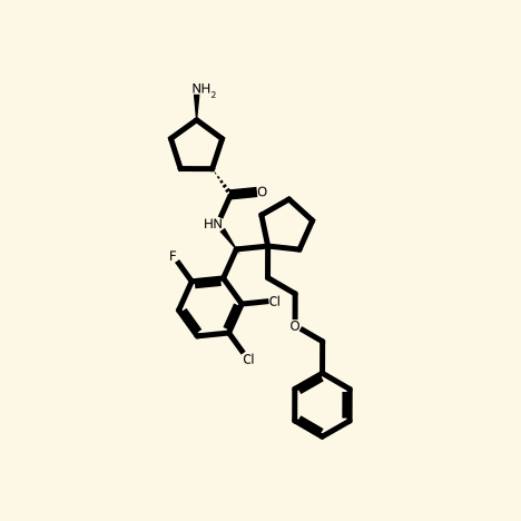 N[C@@H]1CC[C@@H](C(=O)N[C@H](c2c(F)ccc(Cl)c2Cl)C2(CCOCc3ccccc3)CCCC2)C1